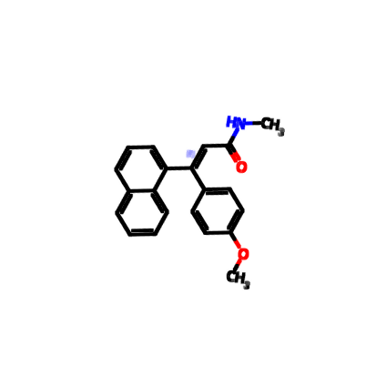 CNC(=O)/C=C(\c1ccc(OC)cc1)c1cccc2ccccc12